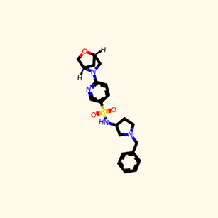 O=S(=O)(NC1CCN(Cc2ccccc2)C1)c1ccc(N2C[C@@H]3C[C@H]2CO3)nc1